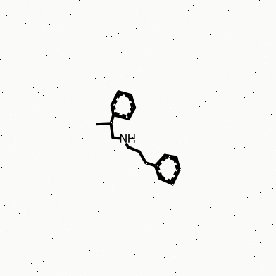 CC(CNCCCc1ccccc1)c1ccccc1